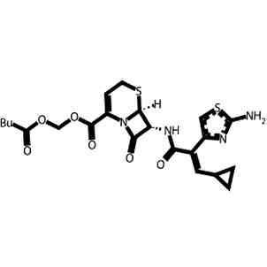 CC(C)(C)C(=O)OCOC(=O)C1=CCS[C@H]2[C@H](NC(=O)C(=CC3CC3)c3csc(N)n3)C(=O)N12